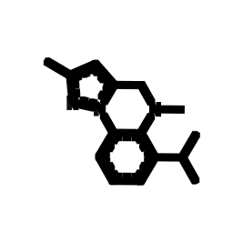 Cc1cc2n(n1)-c1cccc(C(C)C)c1N(C)C2